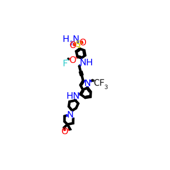 NS(=O)(=O)c1ccc(NCC#Cc2cc3c(NC4CCC(N5CCC6(CC5)COC6)CC4)cccc3n2CC(F)(F)F)c(OCF)c1